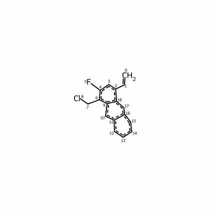 C=Cc1cc(F)c(CCl)c2cc3ccccc3cc12